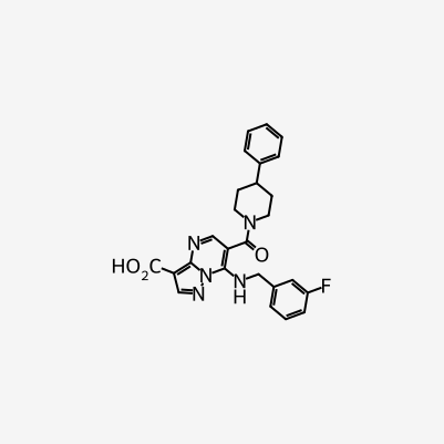 O=C(O)c1cnn2c(NCc3cccc(F)c3)c(C(=O)N3CCC(c4ccccc4)CC3)cnc12